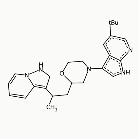 CC(CC1CN(c2c[nH]c3ncc(C(C)(C)C)cc23)CCO1)C1=C2C=CC=CN2NC1